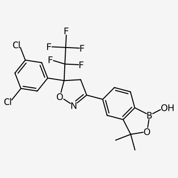 CC1(C)OB(O)c2ccc(C3=NOC(c4cc(Cl)cc(Cl)c4)(C(F)(F)C(F)(F)F)C3)cc21